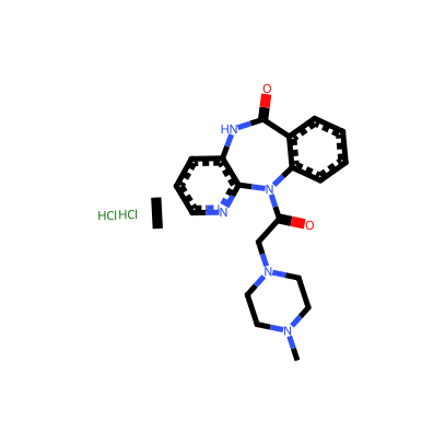 C=C.CN1CCN(CC(=O)N2c3ccccc3C(=O)Nc3cccnc32)CC1.Cl.Cl